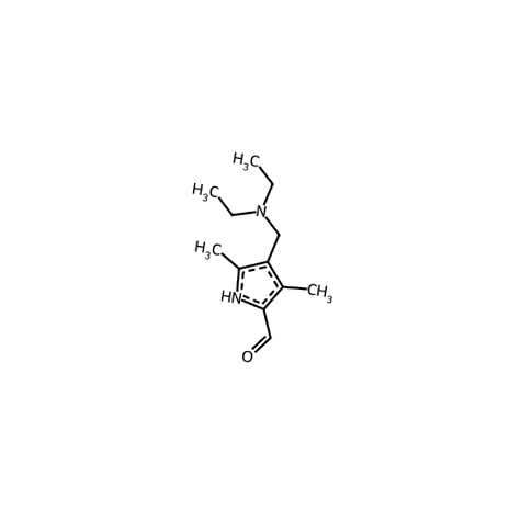 CCN(CC)Cc1c(C)[nH]c(C=O)c1C